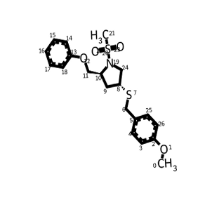 COc1ccc(CS[C@@H]2C[C@@H](COc3ccccc3)N(S(C)(=O)=O)C2)cc1